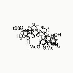 COc1cc(C[C@]2(C(=O)N[C@H](C(N)=O)[C@@H](C)O)CCCN2C(=O)[C@@H]2CCCN2C(=O)[C@@H](NC(=O)OC(C)(C)C)[C@@H](C)O)cc(OC)c1OC